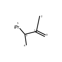 C=C(C)C(C)C(C)C